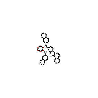 c1ccc(N(c2ccc3ccccc3c2)c2ccc3c(oc4c5ccccc5ccc34)c2N(c2ccccc2)c2ccc3ccccc3c2)cc1